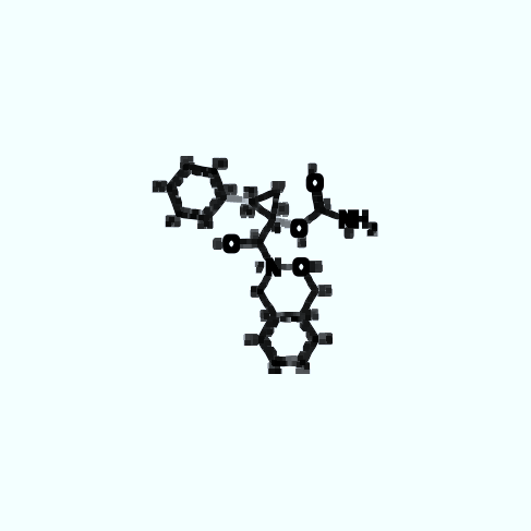 NC(=O)O[C@@]1(C(=O)N2Cc3ccccc3CO2)C[C@H]1c1ccccc1